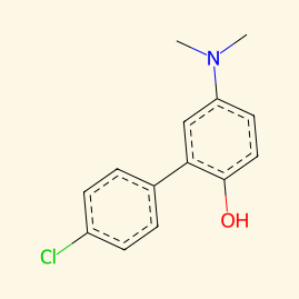 CN(C)c1ccc(O)c(-c2ccc(Cl)cc2)c1